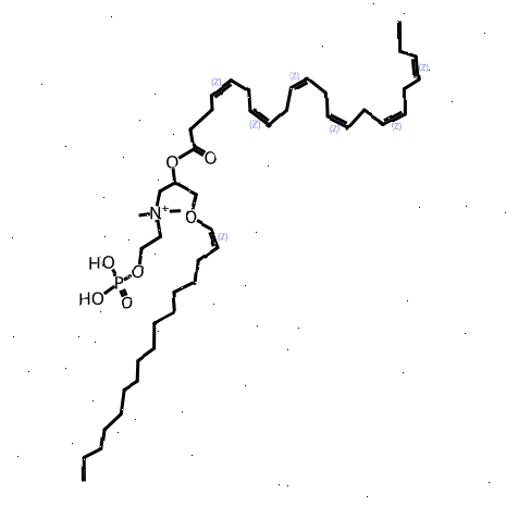 CC/C=C\C/C=C\C/C=C\C/C=C\C/C=C\C/C=C\CCC(=O)OC(CO/C=C\CCCCCCCCCCCCCC)C[N+](C)(C)CCOP(=O)(O)O